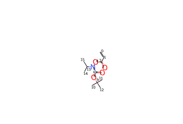 C=CC(=O)ON(C(=O)OC(C)(C)C)C(C)C